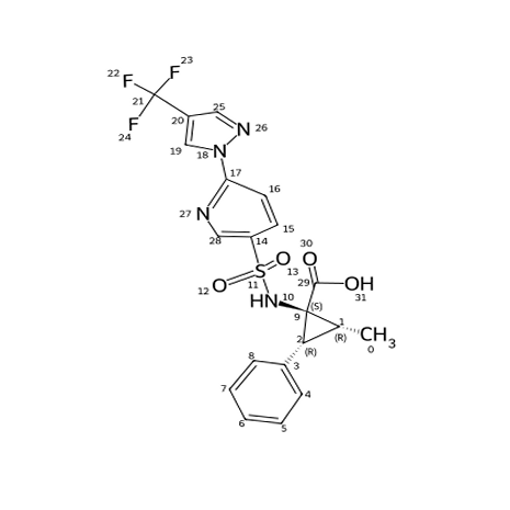 C[C@@H]1[C@H](c2ccccc2)[C@]1(NS(=O)(=O)c1ccc(-n2cc(C(F)(F)F)cn2)nc1)C(=O)O